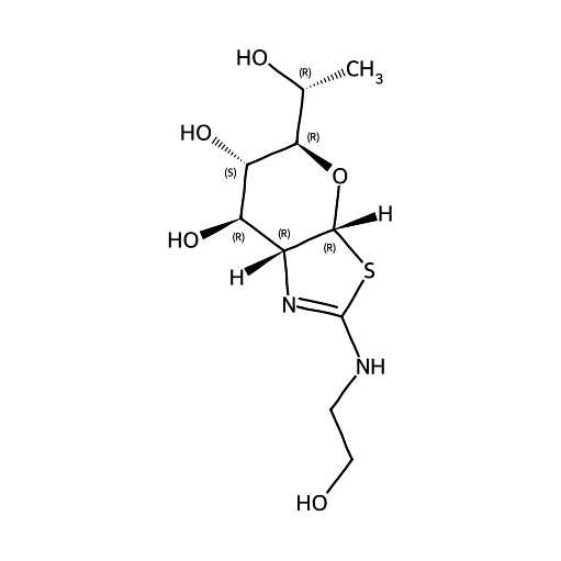 C[C@@H](O)[C@H]1O[C@@H]2SC(NCCO)=N[C@@H]2[C@@H](O)[C@@H]1O